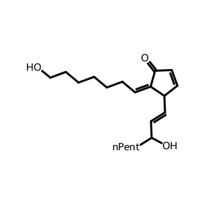 CCCCCC(O)C=CC1C=CC(=O)C1=CCCCCCCO